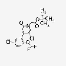 CC(C)(C)OC(=O)Cn1cc(Cl)c(-c2cc(Cl)ccc2OC(F)F)cc1=O